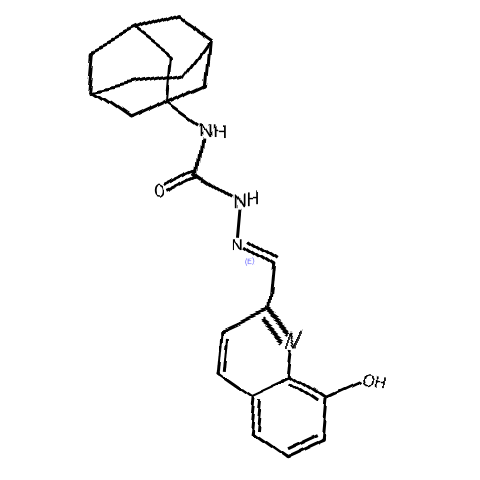 O=C(N/N=C/c1ccc2cccc(O)c2n1)NC12CC3CC(CC(C3)C1)C2